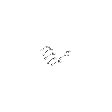 CCCC[O-].CCCC[O-].CCCC[O-].CCCC[O-].CCCC[O-].CCCC[O-].[W+6]